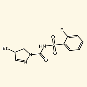 CCC1C=NN(C(=O)NS(=O)(=O)c2ccccc2F)C1